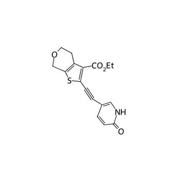 CCOC(=O)c1c(C#Cc2ccc(=O)[nH]c2)sc2c1CCOC2